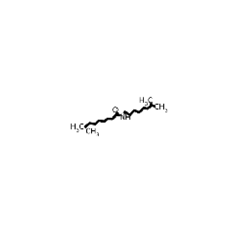 CC(C)CCCCCCNC(=O)CCCCCCC(C)C